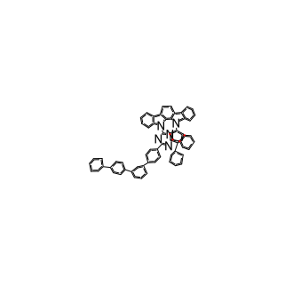 c1ccc(-c2ccc(-c3cccc(-c4ccc(-c5nc(-c6ccccc6)nc(-n6c7ccccc7c7ccc8c9ccccc9n(-c9ccc(-c%10ccccc%10)cc9)c8c76)n5)cc4)c3)cc2)cc1